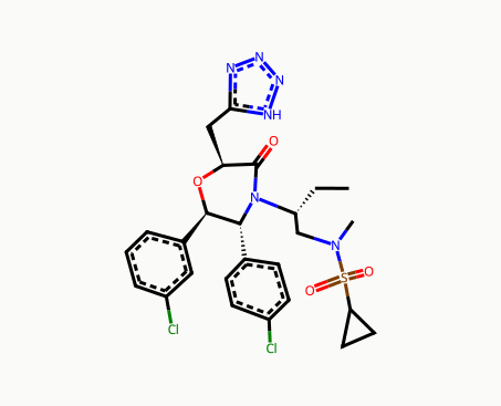 CC[C@H](CN(C)S(=O)(=O)C1CC1)N1C(=O)[C@H](Cc2nnn[nH]2)O[C@H](c2cccc(Cl)c2)[C@H]1c1ccc(Cl)cc1